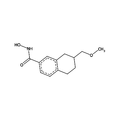 COCC1CCc2ccc(C(=O)NO)cc2C1